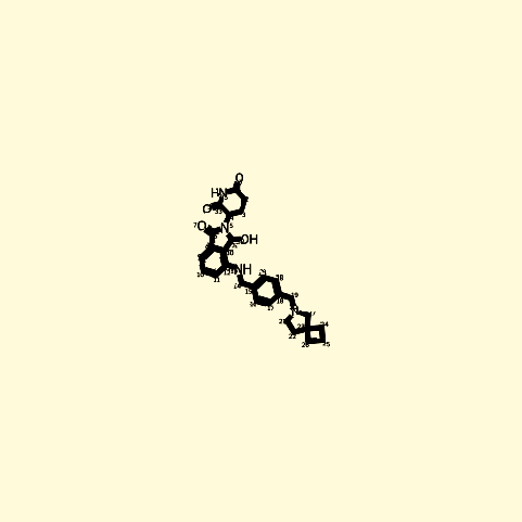 O=C1CCC(N2C(=O)c3cccc(NCc4ccc(CN5CCC6(CCC6)C5)cc4)c3C2O)C(=O)N1